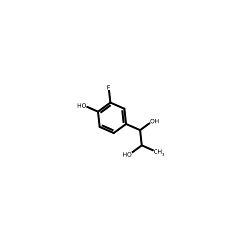 CC(O)C(O)c1ccc(O)c(F)c1